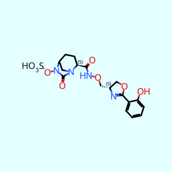 O=C(NOC[C@@H]1COC(c2ccccc2O)=N1)[C@@H]1CCC2CN1C(=O)N2OS(=O)(=O)O